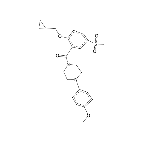 COc1ccc(N2CCN(C(=O)c3cc(S(C)(=O)=O)ccc3OCC3CC3)CC2)cc1